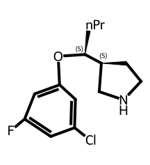 CCC[C@H](Oc1cc(F)cc(Cl)c1)[C@H]1CCNC1